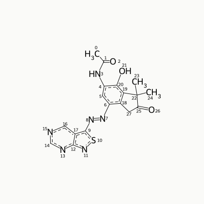 CC(=O)Nc1cc(/N=N/c2snc3ncncc23)c2c(c1O)C(C)(C)C(=O)C2